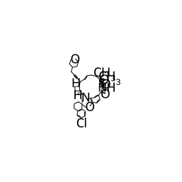 C[C@@H]1[C@@H](C)C/C=C/[C@H](C#CCC2CCOCC2)[C@@H]2CC[C@H]2CN2C[C@@]3(CCCc4cc(Cl)ccc43)COc3ccc(cc32)C(=O)NS1(=O)=O